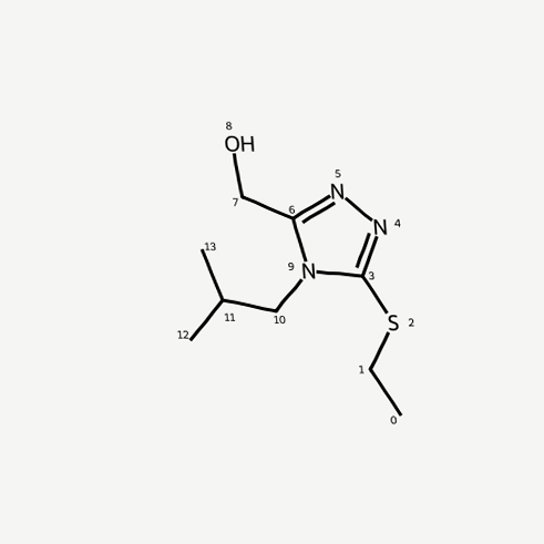 CCSc1nnc(CO)n1CC(C)C